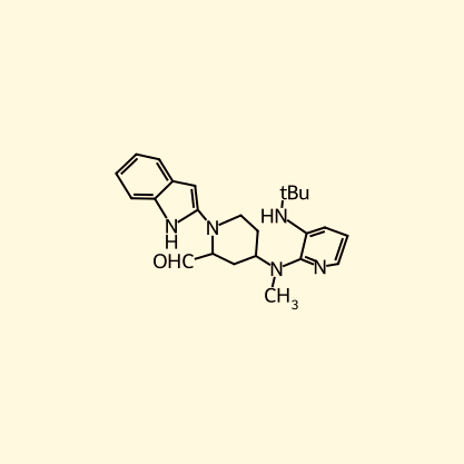 CN(c1ncccc1NC(C)(C)C)C1CCN(c2cc3ccccc3[nH]2)C(C=O)C1